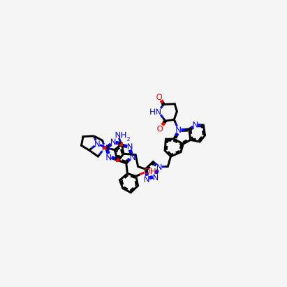 Nc1nnc(-c2ccccc2O)cc1N1CC2CCC(C1)N2c1ncc(CCc2cn(Cc3ccc4c(c3)c3cccnc3n4C3CCC(=O)NC3=O)nn2)cn1